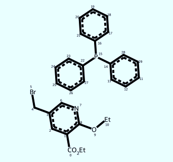 CCOC(=O)c1cc(CBr)cnc1OCC.c1ccc(P(c2ccccc2)c2ccccc2)cc1